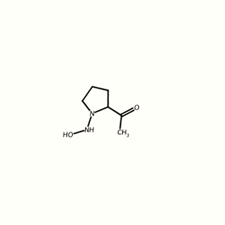 CC(=O)C1CCCN1NO